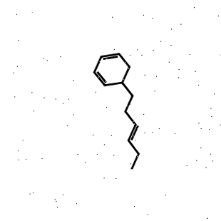 CC/C=C/CC[C]1C=CC=CC1